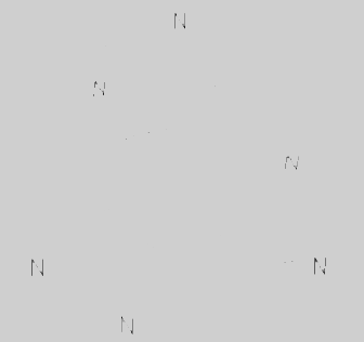 [c]1ncc(-c2ccncn2)c(-c2cncnc2)n1